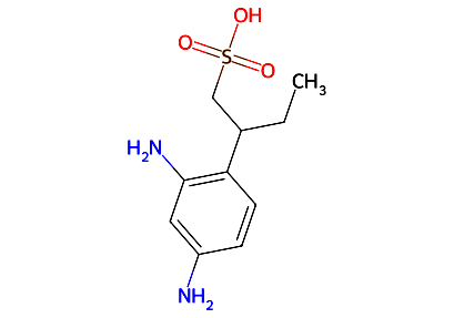 CCC(CS(=O)(=O)O)c1ccc(N)cc1N